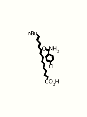 CCCCC=CC=CC=CCCCCCCCC(=O)O.NC(=O)c1ccc(Cl)cc1